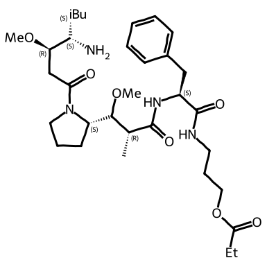 CCC(=O)OCCCNC(=O)[C@H](Cc1ccccc1)NC(=O)[C@H](C)C(OC)[C@@H]1CCCN1C(=O)C[C@@H](OC)[C@@H](N)[C@@H](C)CC